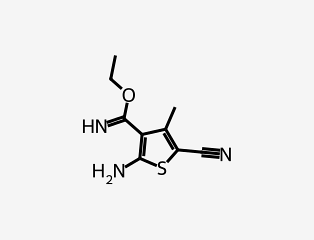 CCOC(=N)c1c(N)sc(C#N)c1C